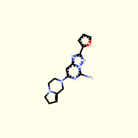 Nc1nc(N2CCN3CCC=C3C2)cc2nc(-c3ccco3)nn12